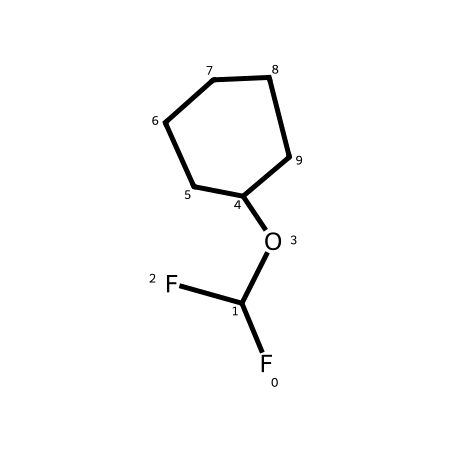 FC(F)OC1CCCCC1